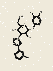 OCC1O[C@H](Sc2ccc(Cl)c(Cl)c2)C(O)C(n2cc(-c3cccc(F)c3)nn2)[C@H]1O